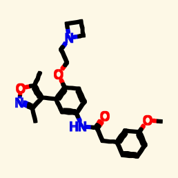 COc1cccc(CC(=O)Nc2ccc(OCCN3CCC3)c(-c3c(C)noc3C)c2)c1